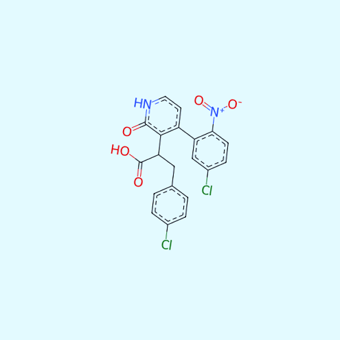 O=C(O)C(Cc1ccc(Cl)cc1)c1c(-c2cc(Cl)ccc2[N+](=O)[O-])cc[nH]c1=O